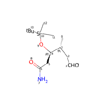 C[C@H](CC=O)[C@@H](CC(N)=O)O[Si](C)(C)C(C)(C)C